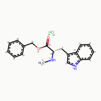 CN[C@@H](Cc1c[nH]c2ccccc12)C(=O)OCc1ccccc1.Cl